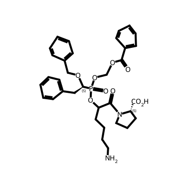 NCCCCC(OP(=O)(OCOC(=O)c1ccccc1)[C@@H](Cc1ccccc1)OCc1ccccc1)C(=O)N1CCC[C@H]1C(=O)O